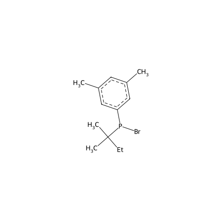 CCC(C)(C)P(Br)c1cc(C)cc(C)c1